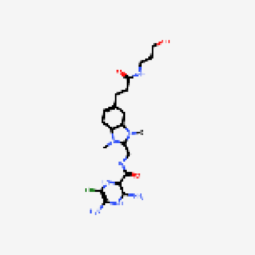 CCN1C2CC(CCC(=O)NCCCO)=CCC2N(C)C1CNC(=O)C1NC(Cl)=C(N)NC1N